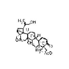 C=C(CO)[C@@H]1CC[C@]2(COC(C)=O)CC[C@]3(C)[C@H](CC[C@@H]4[C@@]5(C)CCC(=O)C(C)(COC(C)=O)[C@@H]5CC[C@]43C)[C@@H]12